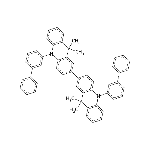 CC1(C)c2ccccc2N(c2cccc(-c3ccccc3)c2)c2ccc(-c3ccc4c(c3)C(C)(C)c3ccccc3N4c3cccc(-c4ccccc4)c3)cc21